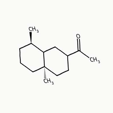 CC(=O)C1CC[C@@]2(C)CCC[C@@H](C)C2C1